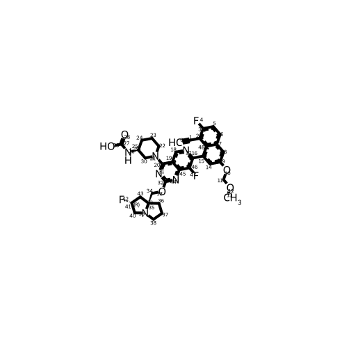 C#Cc1c(F)ccc2cc(OCOC)cc(-c3ncc4c(N5CCC[C@H](NC(=O)O)C5)nc(OC[C@@]56CCCN5C[C@H](F)C6)nc4c3F)c12